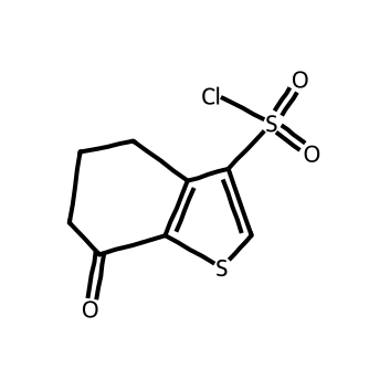 O=C1CCCc2c(S(=O)(=O)Cl)csc21